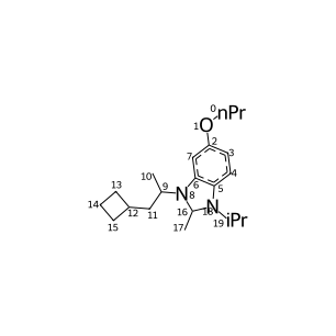 CCCOc1ccc2c(c1)N(C(C)CC1CCC1)C(C)N2C(C)C